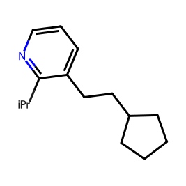 CC(C)c1ncccc1CCC1CCCC1